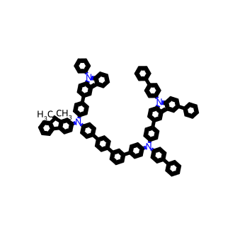 CC1(C)c2ccccc2-c2ccc(N(c3ccc(-c4ccc(-c5cccc(-c6ccc(N(c7ccc(-c8ccccc8)cc7)c7ccc(-c8ccc9c(c8)c8cc(-c%10ccccc%10)ccc8n9-c8ccc(-c9ccccc9)cc8)cc7)cc6)c5)cc4)cc3)c3ccc(-c4ccc5c(c4)c4ccccc4n5-c4ccccc4)cc3)cc21